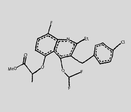 CCc1nc2c(F)ccc(OC(C)C(=O)OC)c2c(OC(F)F)c1Cc1ccc(Cl)cc1